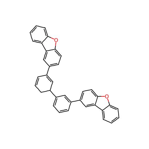 C1=CC(c2ccc3oc4ccccc4c3c2)=CC(c2cccc(-c3ccc4oc5ccccc5c4c3)c2)C1